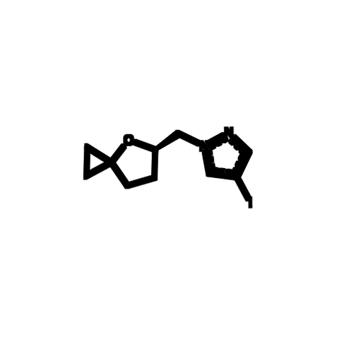 Ic1cnn(C[C@H]2CCC3(CC3)O2)c1